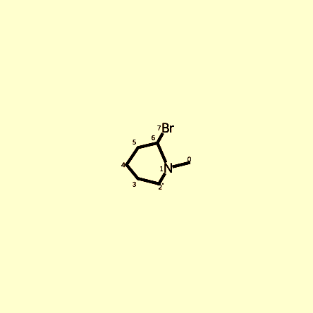 CN1[CH]CCCC1Br